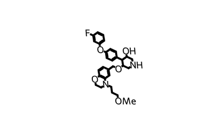 COCCCN1CCOc2ccc(COC3CNCC(O)C3c3ccc(Oc4cccc(F)c4)cc3)cc21